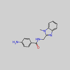 Cn1c(CNC(=O)c2ccc(N)cc2)nc2ccccc21